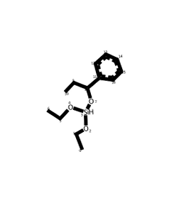 CCO[SiH](OCC)OC(CC)c1ccccc1